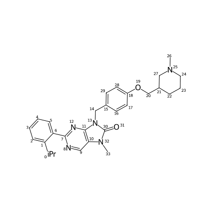 CC(C)c1ccccc1-c1ncc2c(n1)n(Cc1ccc(OCC3CCCN(C)C3)cc1)c(=O)n2C